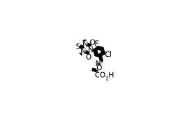 CC(O/N=C/c1cc(-n2c(=O)n(C)c(=S)n(C)c2=O)c(F)cc1Cl)C(=O)O